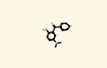 CN(C)c1ccc(N)c(C(=O)c2ccccc2)c1